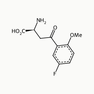 COc1ccc(F)cc1C(=O)C[C@H](N)C(=O)O